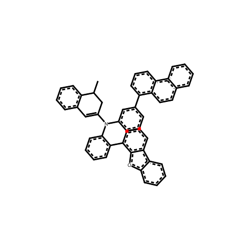 CC1CC(N(c2cccc(-c3cccc4c3ccc3ccccc34)c2)c2ccccc2-c2cccc3c2oc2ccccc23)=Cc2ccccc21